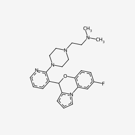 CN(C)CCN1CCN(c2ncccc2C2Oc3ccc(F)cc3-n3cccc32)CC1